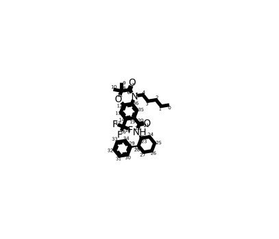 CCCCCN1C(=O)C(C)(C)Oc2cc(C(F)(F)F)c(C(=O)N[C@@H]3CCCC[C@H]3c3ccccc3)cc21